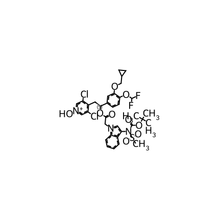 CC(C)(C)OC(=O)N(c1cn(CC(=O)O[C@@H](Cc2c(Cl)c[n+](O)cc2Cl)c2ccc(OC(F)F)c(OCC3CC3)c2)c2ccccc12)S(C)(=O)=O